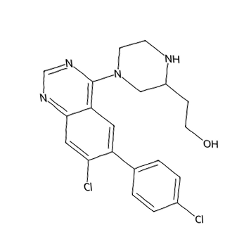 OCCC1CN(c2ncnc3cc(Cl)c(-c4ccc(Cl)cc4)cc23)CCN1